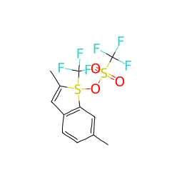 CC1=Cc2ccc(C)cc2S1(OS(=O)(=O)C(F)(F)F)C(F)(F)F